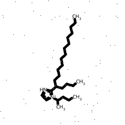 CCCCCCCCCCCCCC(CCCC)c1[nH]cc[n+]1C(C)CCC